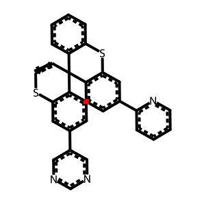 c1ccc(-c2ccc3c(c2)Sc2ccccc2C32c3ccccc3Sc3cc(-c4cncnc4)ccc32)nc1